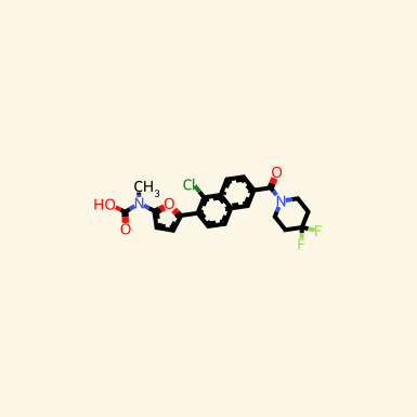 CN(C(=O)O)c1ccc(-c2ccc3cc(C(=O)N4CCC(F)(F)CC4)ccc3c2Cl)o1